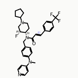 CN(c1ccncc1)c1ccc(CN(C(=O)/C=C/c2ccc(C(F)(F)F)cc2)[C@H]2CCN(C3CCCC3)C[C@H]2F)cc1